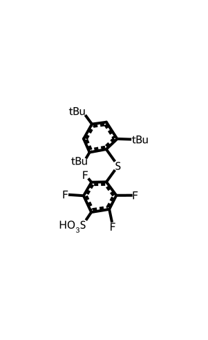 CC(C)(C)c1cc(C(C)(C)C)c(Sc2c(F)c(F)c(S(=O)(=O)O)c(F)c2F)c(C(C)(C)C)c1